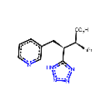 CCC[C@H](C(=O)O)[C@H](Cc1cccnc1)c1nnn[nH]1